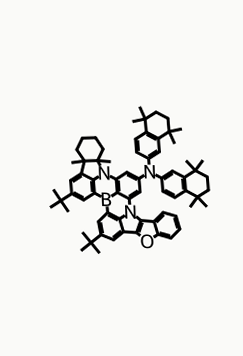 CC(C)(C)c1cc2c3c(c1)C1(C)CCCCC1(C)N3c1cc(N(c3ccc4c(c3)C(C)(C)CCC4(C)C)c3ccc4c(c3)C(C)(C)CCC4(C)C)cc3c1B2c1cc(C(C)(C)C)cc2c4oc5ccccc5c4n-3c12